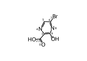 O=C(O)c1ncc(Br)nc1O